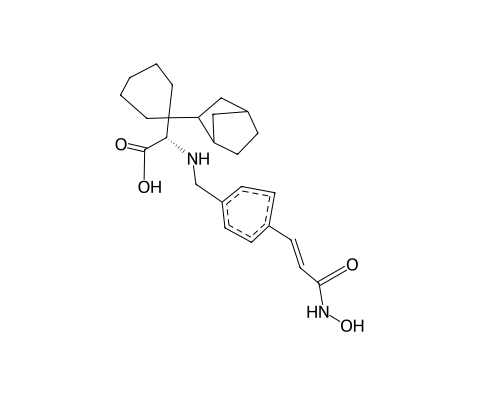 O=C(C=Cc1ccc(CN[C@H](C(=O)O)C2(C3CC4CCC3C4)CCCCC2)cc1)NO